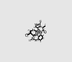 C=CC(=O)Nc1cccc(CN(C)c2nc(Nc3cnn(C)c3)ncc2Cl)c1